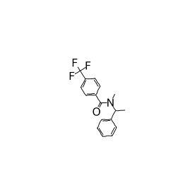 CC(c1ccccc1)N(C)C(=O)c1ccc(C(F)(F)F)cc1